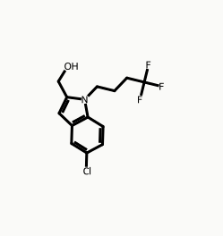 OCc1cc2cc(Cl)ccc2n1CCCC(F)(F)F